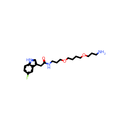 NCCCOCCCCOCCCNC(=O)Cc1c[nH]c2ccc(F)cc12